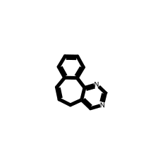 [c]1ncc2c(n1)-c1ccccc1C=CC2